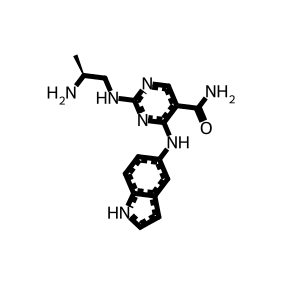 C[C@H](N)CNc1ncc(C(N)=O)c(Nc2ccc3[nH]ccc3c2)n1